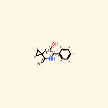 CC1(C(C#N)N[C@H](CO)c2ccccc2)CC1